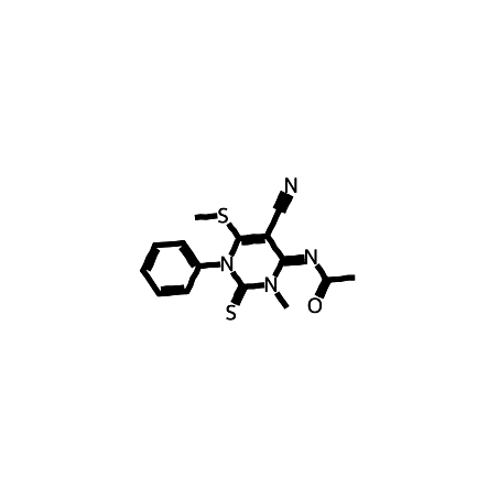 CSc1c(C#N)/c(=N/C(C)=O)n(C)c(=S)n1-c1ccccc1